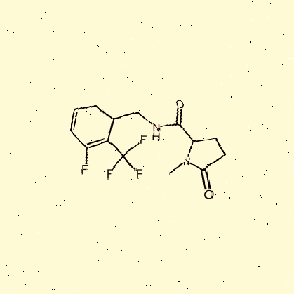 CN1C(=O)CCC1C(=O)NCC1CC=CC(F)=C1C(F)(F)F